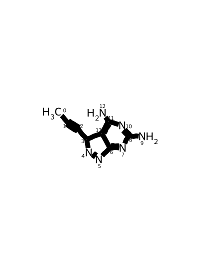 CC#CC1N=Nc2nc(N)nc(N)c21